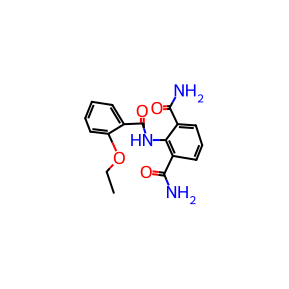 CCOc1ccccc1C(=O)Nc1c(C(N)=O)cccc1C(N)=O